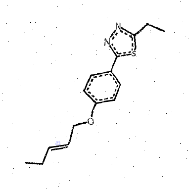 CC/C=C/COc1ccc(-c2nnc(CC)s2)cc1